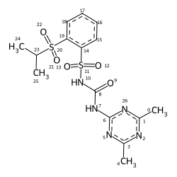 Cc1nc(C)nc(NC(=O)NS(=O)(=O)c2ccccc2S(=O)(=O)C(C)C)n1